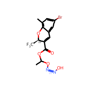 Cc1cc(Br)cc2c1O[C@H](C(F)(F)F)C(C(=O)OC(C)O/N=N\O)=C2